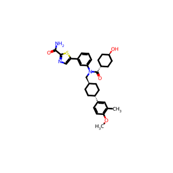 COc1ccc([C@H]2CC[C@H](CN(c3cccc(-c4cnc(C(N)=O)s4)c3)C(=O)[C@H]3CC[C@H](O)CC3)CC2)cc1C